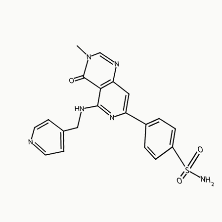 Cn1cnc2cc(-c3ccc(S(N)(=O)=O)cc3)nc(NCc3ccncc3)c2c1=O